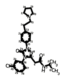 CC(C)NC(=O)Cc1nn(-c2ccc(CCN3CCCC3)cc2)c(=O)n1-c1cccc(Cl)c1